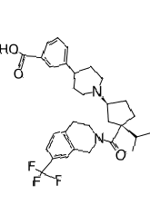 CC(C)[C@]1(C(=O)N2CCc3ccc(C(F)(F)F)cc3C2)CC[C@H](N2CCC(c3cccc(C(=O)O)c3)CC2)C1